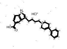 Cl.O=C(O)c1ccc2[nH]cc(CCCCN3CC=C(c4ccccc4)CC3)c2c1